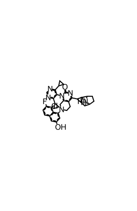 O=c1nc(C2C3CC4CCC(N4)[C@H]32)c2c(n1-c1c(C3CC3)ncnc1C1CC1)CN(c1cc(O)cc3ccc(F)c(Cl)c13)CC2